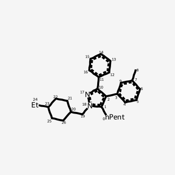 CCCCCc1c(-c2cccc(C)c2)c(-c2ccccc2)nn1CC1CCC(CC)CC1